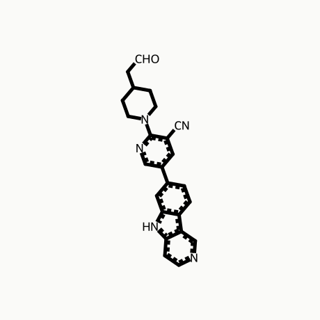 N#Cc1cc(-c2ccc3c(c2)[nH]c2ccncc23)cnc1N1CCC(CC=O)CC1